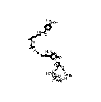 CC(CCCCNC(=O)c1ccc(B(O)O)cc1)NCC(C)(C)SSCOCC#Cc1cn([C@H]2CC(OCSSC(C)(C)C)[C@@H](COP(=O)(O)OP(=O)(O)OP(=O)(O)O)O2)c(=O)nc1N